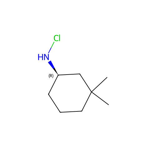 CC1(C)CCC[C@@H](NCl)C1